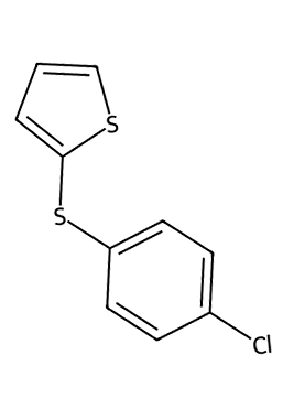 Clc1ccc(Sc2cccs2)cc1